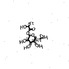 CCC(O)C(=O)OC1O[C@H](CO)[C@@H](O)[C@H](O)[C@H]1O